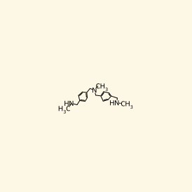 CNCc1ccc(CN(C)Cc2ccc(CNC)cc2)cc1